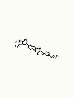 Nc1ncc(-c2ccc3nc(NC(=O)COC4CCN(C(=O)O)C4)cn3c2)cc1C(F)(F)F